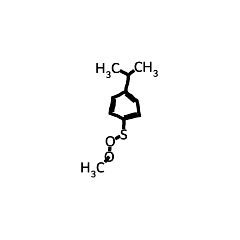 COOSc1ccc(C(C)C)cc1